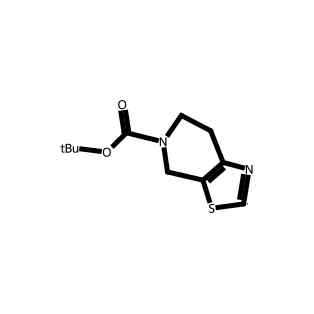 CC(C)(C)OC(=O)N1CCc2n[c]sc2C1